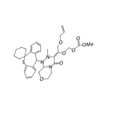 C=CCOC/C(OCOC(=O)OC)=C1/C(=O)N2CCOCC2N(C2c3ccccc3SC3(CCCCC3)c3ccccc32)N1C